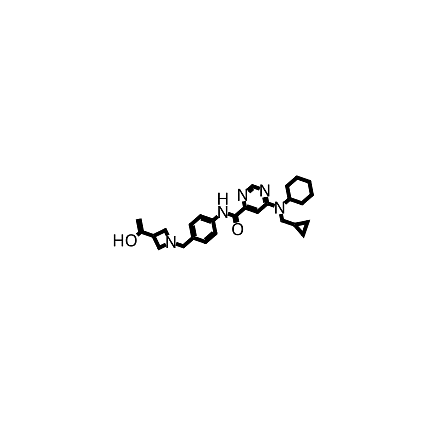 C=C(O)C1CN(Cc2ccc(NC(=O)c3cc(N(CC4CC4)C4CCCCC4)ncn3)cc2)C1